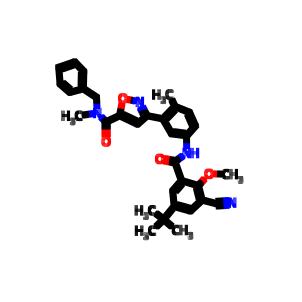 COc1c(C#N)cc(C(C)(C)C)cc1C(=O)Nc1ccc(C)c(-c2cc(C(=O)N(C)Cc3ccccc3)on2)c1